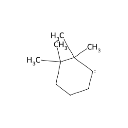 CC1(C)[C]CCCC1(C)C